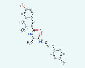 C[C@@H](NC(=O)[C@H](Cc1ccc(O)cc1)N(C)C)C(=O)NC=CCc1ccc(C#N)cc1